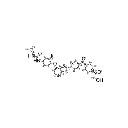 O=C(Nc1ccc(Oc2ccnc3cc(-c4ccc(C(=O)N5CCN(C(=O)CO)CC5)cn4)sc23)c(F)c1)NC1CC1